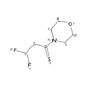 FC(F)CC(=S)N1CCOCC1